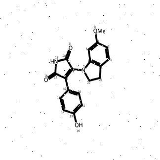 COc1ccc2c(c1)N(C1=C(c3ccc(O)cc3)C(=O)NC1=O)CC2